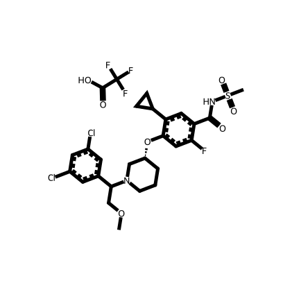 COCC(c1cc(Cl)cc(Cl)c1)N1CCC[C@@H](Oc2cc(F)c(C(=O)NS(C)(=O)=O)cc2C2CC2)C1.O=C(O)C(F)(F)F